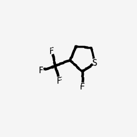 FC1SCCC1C(F)(F)F